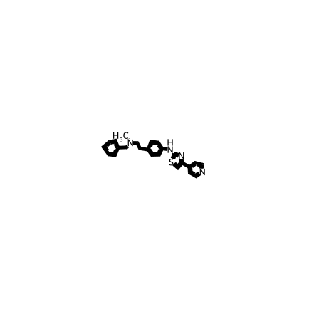 CN(CCc1ccc(Nc2nc(-c3ccncc3)cs2)cc1)Cc1ccccc1